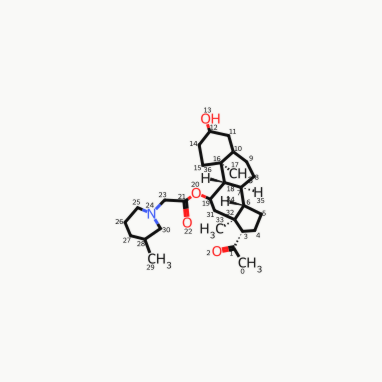 CC(=O)[C@H]1CC[C@H]2[C@@H]3CCC4CC(O)CC[C@]4(C)[C@H]3C(OC(=O)CN3CCCC(C)C3)C[C@]12C